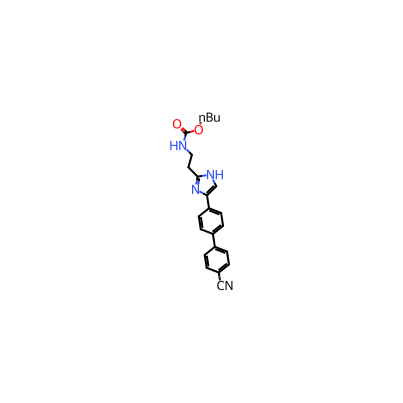 CCCCOC(=O)NCCc1nc(-c2ccc(-c3ccc(C#N)cc3)cc2)c[nH]1